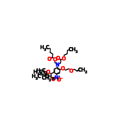 C=CCOCCOc1cc([N+](=O)[O-])c(CO[Si](C)(C)C(C)(C)C)cc1N(COC(=O)CCCC)CC(=O)OCCCC